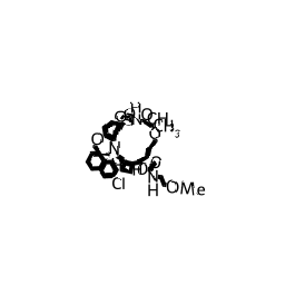 COCCNC(=O)O[C@H]1/C=C/COC(C)(C)C(=O)NS(=O)(=O)c2ccc3c(c2)N(C[C@@H]2CC[C@H]21)C[C@@]1(CCCc2cc(Cl)ccc21)CO3